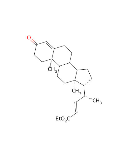 CCOC(=O)/C=C/[C@@H](C)[C@H]1CCC2C3CCC4=CC(=O)CC[C@]4(C)C3CC[C@@]21C